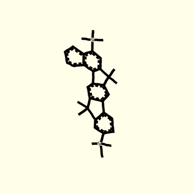 CC1(C)c2cc([Si](C)(C)C)ccc2-c2cc3c(cc21)-c1c(cc([Si](C)(C)C)c2ccccc12)C3(C)C